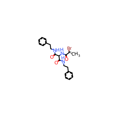 C[C@@H](Br)C(=O)NC(C(=O)NCCc1ccccc1)C(=O)NCCc1ccccc1